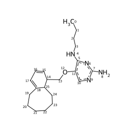 CCCCNc1nc(N)ncc1OCC1C=CC=C2CCCCCCC21